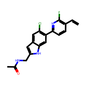 C=Cc1ccc(-c2cc3[nH]c(CNC(C)=O)cc3cc2Cl)nc1F